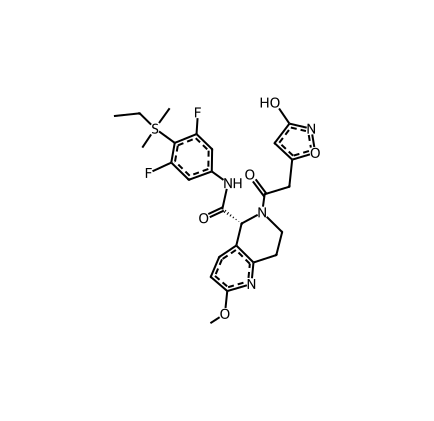 CCS(C)(C)c1c(F)cc(NC(=O)[C@H]2c3ccc(OC)nc3CCN2C(=O)Cc2cc(O)no2)cc1F